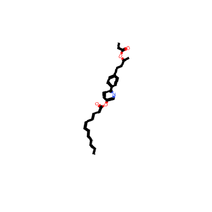 CCCCCC/C=C\CCCC(=O)Oc1ccc(-c2ccc(CCC(C)OC(=O)CC)cc2)nc1